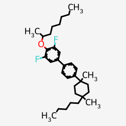 CCCCCCC(C)Oc1c(F)cc(-c2ccc(C3(C)CCC(C)(CCCCC)CC3)cc2)cc1F